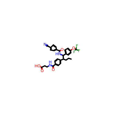 CCCC(c1ccc(C(=O)NCCC(=O)O)cc1)C(NC(=O)c1ccc(C#N)cc1)c1ccc(OC(F)(F)F)cc1